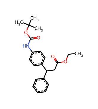 CCOC(=O)CC(c1ccccc1)c1ccc(NC(=O)OC(C)(C)C)cc1